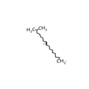 [CH2]CCCCCCC/C=C/CCCCCC(C)C